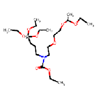 CCOC(=O)N(CCC[Si](OCC)(OCC)OCC)CCOCCO[C@H](C)OCC